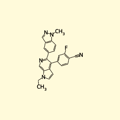 CCn1ccc2c(-c3ccc(C#N)c(F)c3)c(-c3ccc4c(cnn4C)c3)ncc21